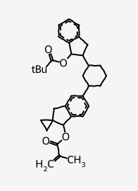 C=C(C)C(=O)OC1c2ccc(C3CCCC(C4Cc5ccccc5C4OC(=O)C(C)(C)C)C3)cc2CC12CC2